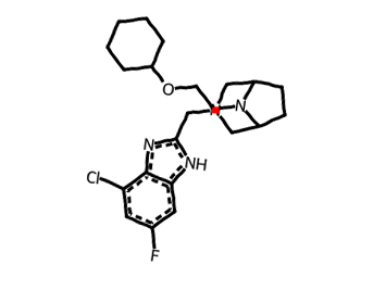 Fc1cc(Cl)c2nc(CN3CC4CCC(C3)N4CCOC3CCCCC3)[nH]c2c1